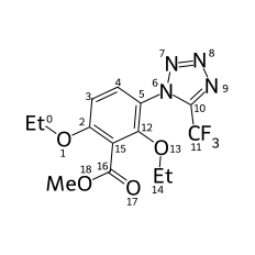 CCOc1ccc(-n2nnnc2C(F)(F)F)c(OCC)c1C(=O)OC